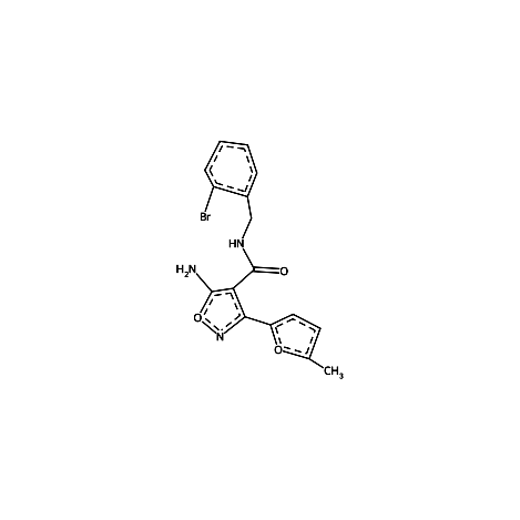 Cc1ccc(-c2noc(N)c2C(=O)NCc2ccccc2Br)o1